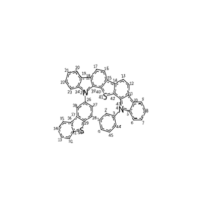 c1ccc(-n2c3ccccc3c3ccc4c5ccc6c7ccccc7n(-c7ccc8sc9ccccc9c8c7)c6c5sc4c32)cc1